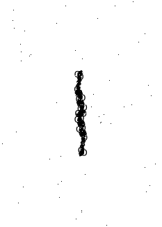 C=CC(=O)OCCCCCCOc1ccc(C(=O)Oc2ccc(C(=O)O[C@H]3COC4C3OC[C@@H]4OC(=O)c3ccc(OC(=O)c4ccc(OCCCCCCOC(=O)C=C)cc4)cc3)cc2)cc1